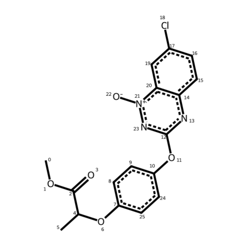 COC(=O)C(C)Oc1ccc(Oc2nc3ccc(Cl)cc3[n+]([O-])n2)cc1